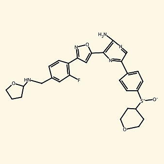 Nc1ncc(-c2ccc([S+]([O-])C3CCOCC3)cc2)nc1-c1cc(-c2ccc(CNC3CCCO3)cc2F)no1